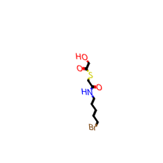 O=C(CSC(=O)CO)NCCCCCBr